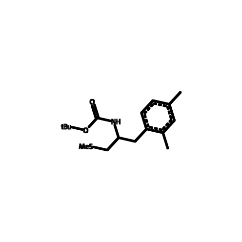 CSCC(Cc1ccc(C)cc1C)NC(=O)OC(C)(C)C